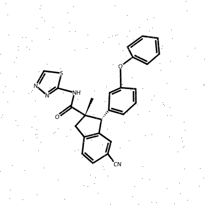 C[C@]1(C(=O)Nc2nncs2)Cc2ccc(C#N)cc2[C@H]1c1cccc(Oc2ccccc2)c1